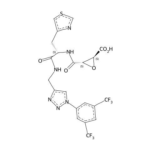 O=C(NCc1cn(-c2cc(C(F)(F)F)cc(C(F)(F)F)c2)nn1)[C@H](Cc1cscn1)NC(=O)[C@H]1O[C@@H]1C(=O)O